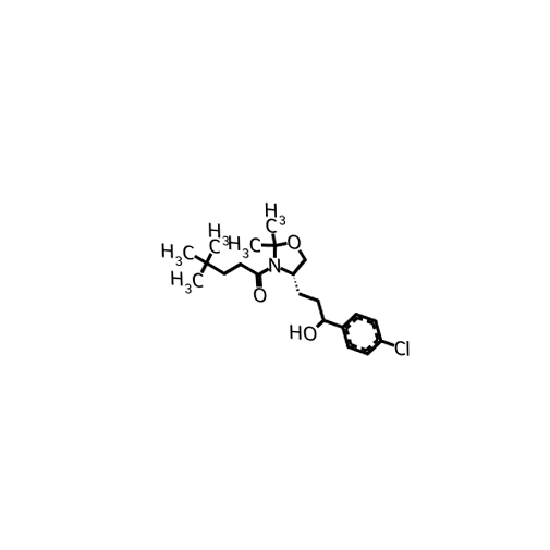 CC(C)(C)CCC(=O)N1[C@@H](CCC(O)c2ccc(Cl)cc2)COC1(C)C